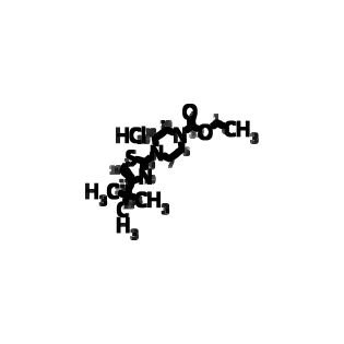 CCOC(=O)N1CCN(c2nc(C(C)(C)C)cs2)CC1.Cl